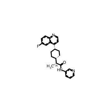 C[C@@H](C(=O)Nc1cccnc1)[C@H]1CC[C@@H](c2ccnc3ccc(F)cc32)CC1